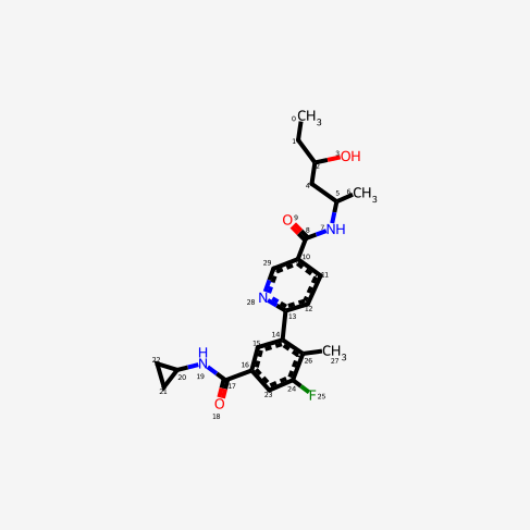 CCC(O)CC(C)NC(=O)c1ccc(-c2cc(C(=O)NC3CC3)cc(F)c2C)nc1